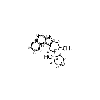 CCCc1nc2cnc3ccccc3c2n1CCC1(O)CCOCC1